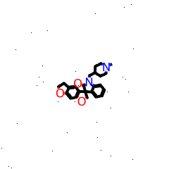 CN1CCC(CN2C(=O)C3(COc4cc5c(cc43)CCO5)c3ccccc32)CC1